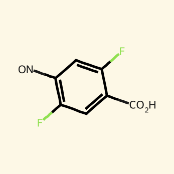 O=Nc1cc(F)c(C(=O)O)cc1F